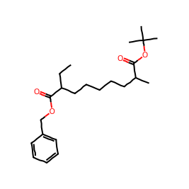 CCC(CCCCCC(C)C(=O)OC(C)(C)C)C(=O)OCc1ccccc1